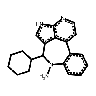 NN1c2ccccc2-c2ccnc3[nH]cc(c23)C1C1CCCCC1